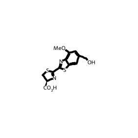 COc1cc(CO)cc2sc(C3=N[C@@H](C(=O)O)CS3)nc12